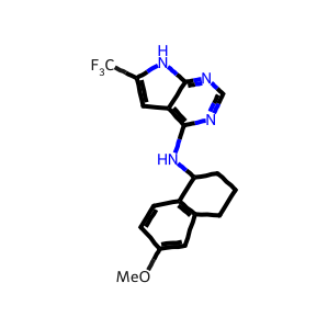 COc1ccc2c(c1)CCCC2Nc1ncnc2[nH]c(C(F)(F)F)cc12